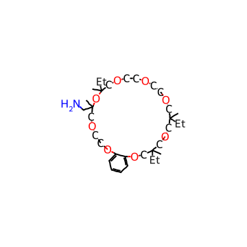 CCC1(C)COCCOCCOCC(C)(CC)OC(C)(CN)COCCOc2ccccc2OCC(C)(CC)COC1